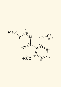 CSC[C@H](C)NC(=O)c1c(OC(F)(F)F)cccc1C(=O)O